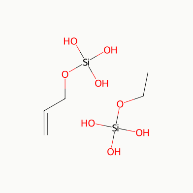 C=CCO[Si](O)(O)O.CCO[Si](O)(O)O